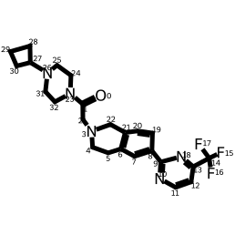 O=C(CN1CCc2cc(-c3nccc(C(F)(F)F)n3)ccc2C1)N1CCN(C2CCC2)CC1